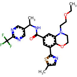 CCOCCN1CCOc2c(-c3ncc(C)s3)cc(C(=O)NC(C)c3cnc(C(F)(F)F)nc3)cc21